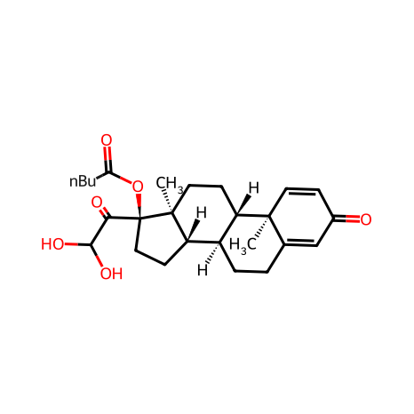 CCCCC(=O)O[C@]1(C(=O)C(O)O)CC[C@H]2[C@@H]3CCC4=CC(=O)C=C[C@]4(C)[C@H]3CC[C@@]21C